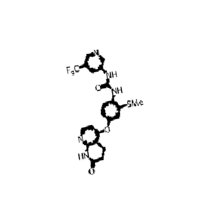 CSc1cc(Oc2ccnc3c2CCC(=O)N3)ccc1NC(=O)Nc1cncc(C(F)(F)F)c1